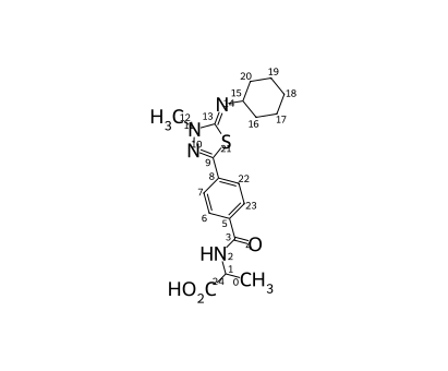 CC(NC(=O)c1ccc(-c2nn(C)c(=NC3CCCCC3)s2)cc1)C(=O)O